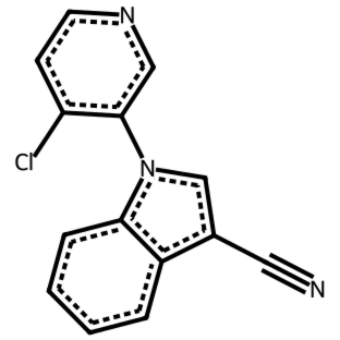 N#Cc1cn(-c2cnccc2Cl)c2ccccc12